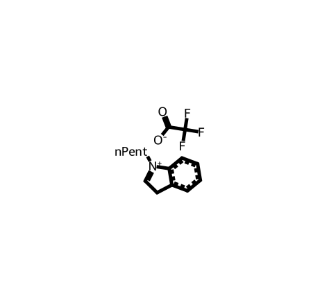 CCCCC[N+]1=CCc2ccccc21.O=C([O-])C(F)(F)F